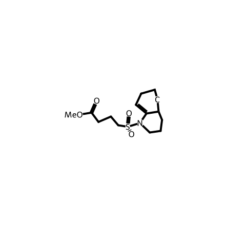 COC(=O)CCCS(=O)(=O)N1CCCC2CCCC=C21